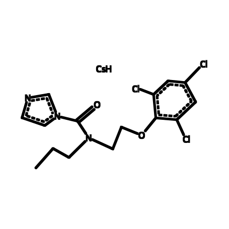 CCCN(CCOc1c(Cl)cc(Cl)cc1Cl)C(=O)n1ccnc1.[CsH]